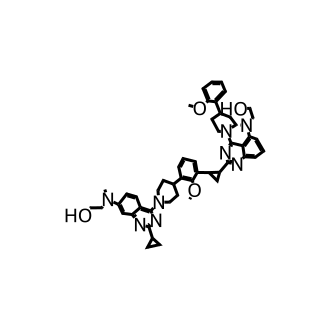 COc1ccccc1C1CCN(c2nc(C3CC3c3cccc(C4CCN(c5nc(C6CC6)nc6cc(N(C)CCO)ccc56)CC4)c3OC)nc3cccc(N(C)CCO)c23)CC1